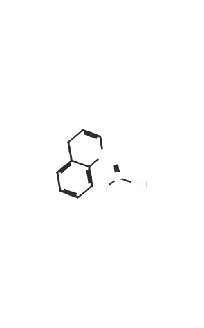 C1=COc2ccccc2C1.O=S(O)O